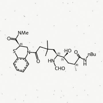 CCCCNC(=O)[C@H](C)C[C@H](O)[C@H](CC(C)(C)CC(=O)N1C[C@H](C(=O)NC)Sc2ccccc21)NC=O